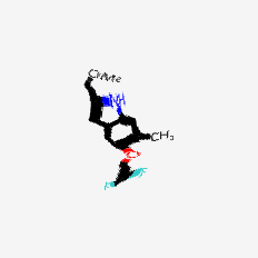 COCc1cc2cc(OCC(F)F)c(C)cc2[nH]1